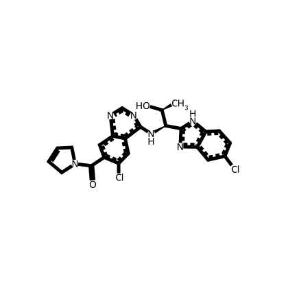 C[C@H](O)[C@H](Nc1ncnc2cc(C(=O)N3CC=CC3)c(Cl)cc12)c1nc2cc(Cl)ccc2[nH]1